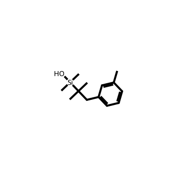 Cc1cccc(CC(C)(C)[Si](C)(C)O)c1